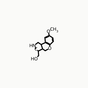 COc1ccc2c(c1)C1CNCC(CO)C1CO2